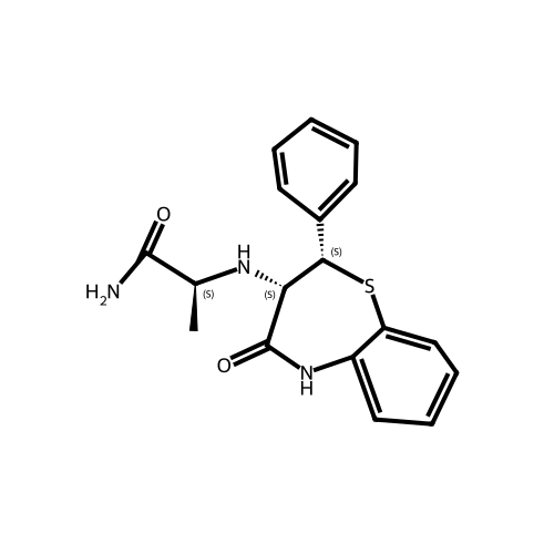 C[C@H](N[C@H]1C(=O)Nc2ccccc2S[C@H]1c1ccccc1)C(N)=O